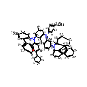 Cc1cc2c3c(c1)N(c1ccc(C(C)(C)C)cc1-c1ccccc1)c1ccc(-c4ccccc4)cc1B3c1ccc(N3c4ccccc4C4(c5ccccc5)CCCCC34C)cc1N2c1ccc(C(C)(C)C)cc1